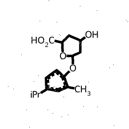 Cc1cc(C(C)C)ccc1OC1CC(O)CC(C(=O)O)O1